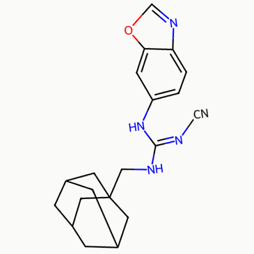 N#CN=C(NCC12CC3CC(CC(C3)C1)C2)Nc1ccc2ncoc2c1